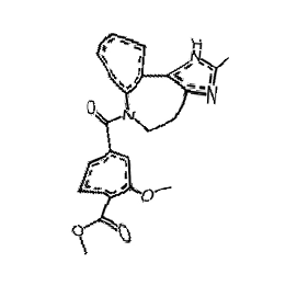 COC(=O)c1ccc(C(=O)N2CCc3nc(C)[nH]c3-c3ccccc32)cc1OC